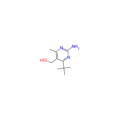 Cc1nc(N)nc(C(C)(C)C)c1CO